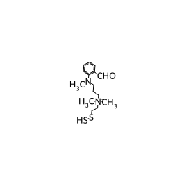 CN(CCC[N+](C)(C)CCSS)c1ccccc1C=O